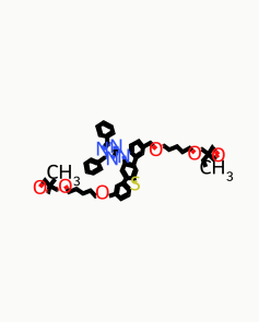 CCC1(COCCCCCOCc2ccc3sc4cc5c6cc(COCCCCCOCC7(CC)COC7)ccc6n(-c6nc(-c7ccccc7)nc(-c7ccccc7)n6)c5cc4c3c2)COC1